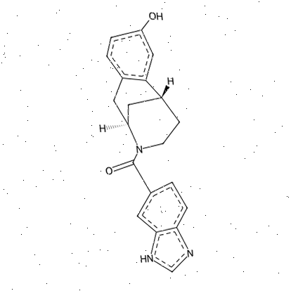 O=C(c1ccc2nc[nH]c2c1)N1CC[C@@H]2C[C@@H]1Cc1ccc(O)cc12